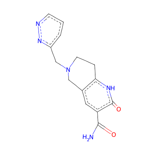 NC(=O)c1cc2c([nH]c1=O)CCN(Cc1cccnn1)C2